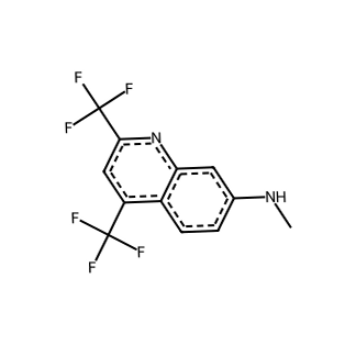 CNc1ccc2c(C(F)(F)F)cc(C(F)(F)F)nc2c1